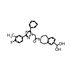 Cc1cc(-c2nc(-c3ccccc3)n(CC(=O)N3CCc4ccc(C(O)O)cc4CC3)n2)ccc1F